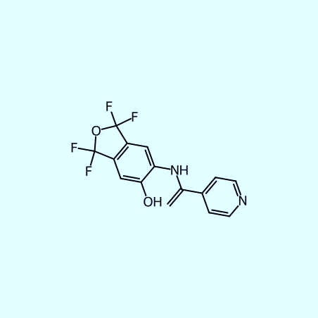 C=C(Nc1cc2c(cc1O)C(F)(F)OC2(F)F)c1ccncc1